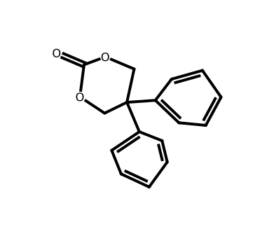 O=C1OCC(c2ccccc2)(c2ccccc2)CO1